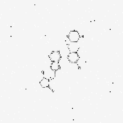 Cc1cc(Cl)cc(-c2ncnc3cc(CN4C(=O)CCC4=O)sc23)c1C[C@H]1CNCCO1